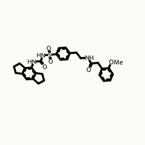 COc1ccccc1CC(=O)NCCc1ccc(S(=O)(=O)NC(=O)Nc2c3c(cc4c2CCC4)CCC3)cc1